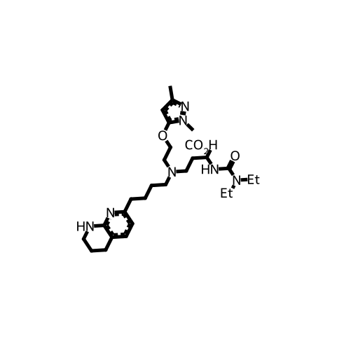 CCN(CC)C(=O)NC(CCN(CCCCc1ccc2c(n1)NCCC2)CCOc1cc(C)nn1C)C(=O)O